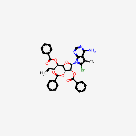 C=CC[C@@H](OC(=O)c1ccccc1)[C@H]1O[C@@H](n2c(Br)c(C#N)c3c(N)ncnc32)[C@H](OC(=O)c2ccccc2)[C@@H]1OC(=O)c1ccccc1